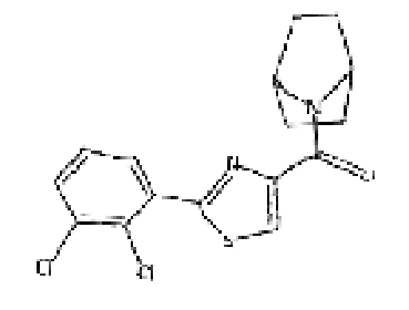 O=C(c1csc(-c2cccc(Cl)c2Cl)n1)N1C2CCC1CC2